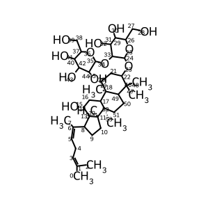 CC(C)=CC/C=C(/C)C1CCC2(C)C1[C@H](O)CC1[C@@]3(C)CCC(OC4OC(CO)C(O)C(O)C4OC4OC(CO)C(O)C(O)C4O)C(C)(C)C3CC[C@]12C